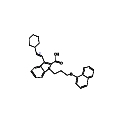 O=C(O)c1c(/C=C/C2CCCCC2)c2ccccc2n1CCCOc1cccc2ccccc12